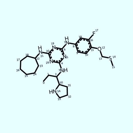 CCC(Nc1nc(Nc2ccc(OCSC)c(F)c2)nc(NC2CCCCCC2)n1)C1CCCN1